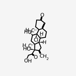 C=C1C[C@H]2[C@@H]3CCC4=CC(=O)CC[C@]4(C)[C@@]3(Cl)C(O)C[C@]2(C)[C@@]1(O)C(=O)CO